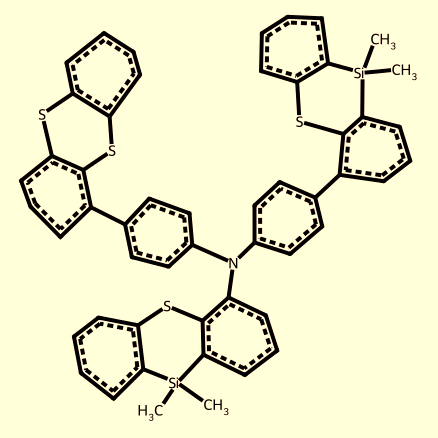 C[Si]1(C)c2ccccc2Sc2c(-c3ccc(N(c4ccc(-c5cccc6c5Sc5ccccc5S6)cc4)c4cccc5c4Sc4ccccc4[Si]5(C)C)cc3)cccc21